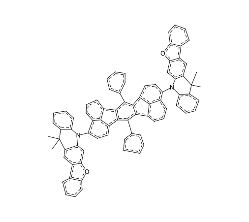 CC1(C)c2ccccc2N(c2ccc3c4c(-c5ccccc5)c5c6cccc7c(N8c9ccccc9C(C)(C)c9cc%10c(cc98)oc8ccccc8%10)ccc(c5c(-c5ccccc5)c4c4cccc2c43)c76)c2cc3oc4ccccc4c3cc21